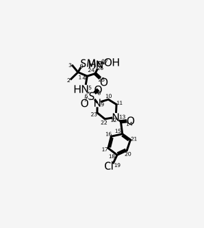 CSC(C)(C)C(NS(=O)(=O)N1CCN(C(=O)c2ccc(Cl)cc2)CC1)C(=O)NO